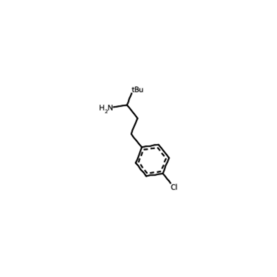 CC(C)(C)C(N)CCc1ccc(Cl)cc1